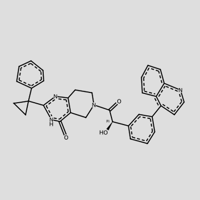 O=C([C@H](O)c1cccc(-c2ccnc3ccccc23)c1)N1CCc2nc(C3(c4ccccc4)CC3)[nH]c(=O)c2C1